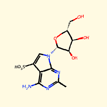 Cc1nc(N)c2c(S(=O)(=O)O)cn([C@@H]3O[C@H](CO)[C@@H](O)[C@H]3O)c2n1